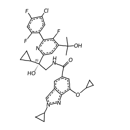 CC(C)(O)c1cc([C@@](O)(CNC(=O)c2cc(OC3CC3)c3nn(C4CC4)cc3c2)C2CC2)nc(-c2cc(Cl)c(F)cc2F)c1F